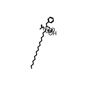 C=C(C)N(CCCCCCCCCCCCCCCCC)C(Cc1ccccc1)CS(=O)(=O)O